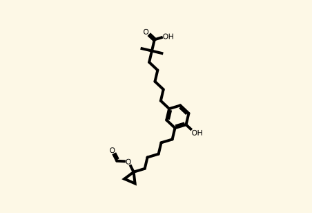 CC(C)(CCCCCc1ccc(O)c(CCCCCC2(OC=O)CC2)c1)C(=O)O